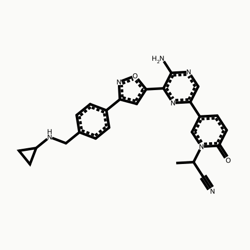 CC(C#N)n1cc(-c2cnc(N)c(-c3cc(-c4ccc(CNC5CC5)cc4)no3)n2)ccc1=O